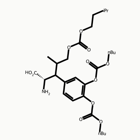 CCCCOC(=O)Oc1ccc(C(C(C)COC(=O)OCCC(C)C)[C@H](N)C(=O)O)cc1OC(=O)OCCCC